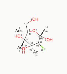 CC(=O)[C@@]1(O)[C@](CO)(C(C)=O)O[C@@](O)(C(C)=O)[C@@H](F)[C@]1(O)C(C)=O